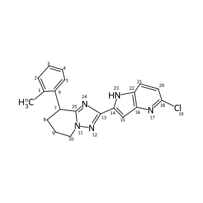 Cc1ccccc1C1CCCn2nc(-c3cc4nc(Cl)ccc4[nH]3)nc21